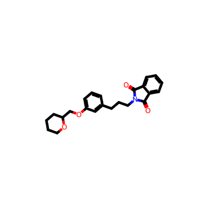 O=C1c2ccccc2C(=O)N1CCCc1cccc(OCC2CCCCO2)c1